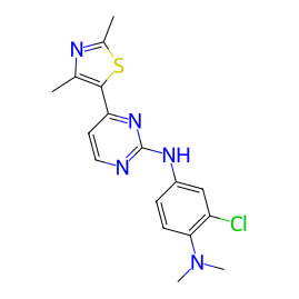 Cc1nc(C)c(-c2ccnc(Nc3ccc(N(C)C)c(Cl)c3)n2)s1